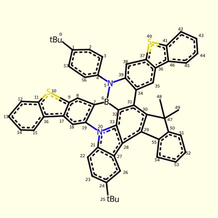 CC(C)(C)c1ccc(N2B3c4cc5sc6ccccc6c5cc4-n4c5ccc(C(C)(C)C)cc5c5c6c(c(c3c54)-c3cc4c(cc32)sc2ccccc24)C(C)(C)c2ccccc2-6)cc1